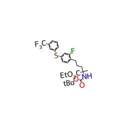 CCOC(=O)C(C)(CCCc1ccc(Sc2cccc(C(F)(F)F)c2)cc1F)NC(=O)OC(C)(C)C